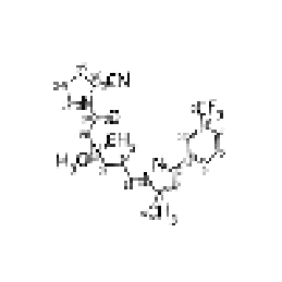 Cc1cc(-c2cccc(C(F)(F)F)c2)nn1CCC[N+](C)(C)CC(=O)N1CCCC1C#N